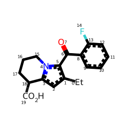 CCc1cc2n(c1C(=O)c1ccccc1F)CCCC2C(=O)O